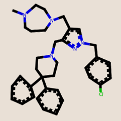 CN1CCCN(Cc2cn(Cc3ccc(Cl)cc3)nc2CN2CCC(c3ccccc3)(c3ccccc3)CC2)CC1